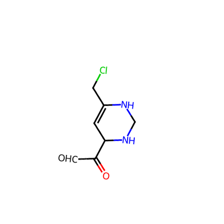 O=CC(=O)C1C=C(CCl)NCN1